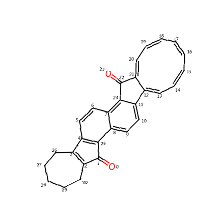 O=c1c2c(c3ccc4c(ccc5c6ccccccccc6c(=O)c54)c13)CCCCC2